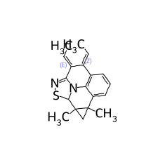 C/C=C1\C(=C/C)C2=NSC3N2c2c1cccc2C1(C)CC31C